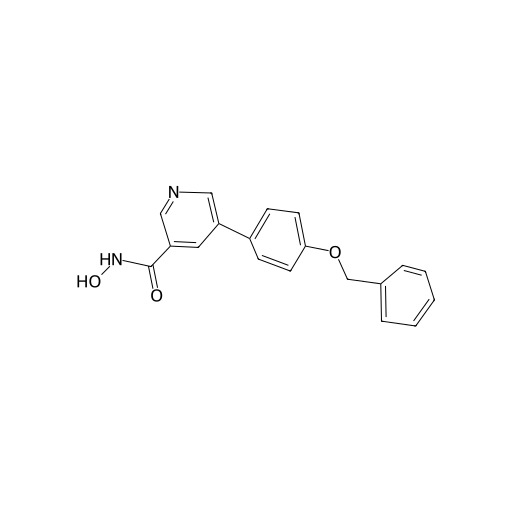 O=C(NO)c1cncc(-c2ccc(OCc3ccccc3)cc2)c1